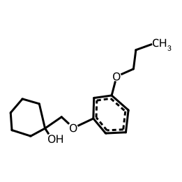 CCCOc1cccc(OCC2(O)CCCCC2)c1